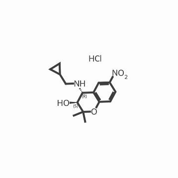 CC1(C)Oc2ccc([N+](=O)[O-])cc2[C@@H](NCC2CC2)[C@@H]1O.Cl